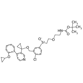 CC(C)(C)OC(=O)NCCOCC[S+]([O-])c1ccc(Cl)c(COC2(c3cnccc3-c3ccccc3OC3CC3)CC2)c1